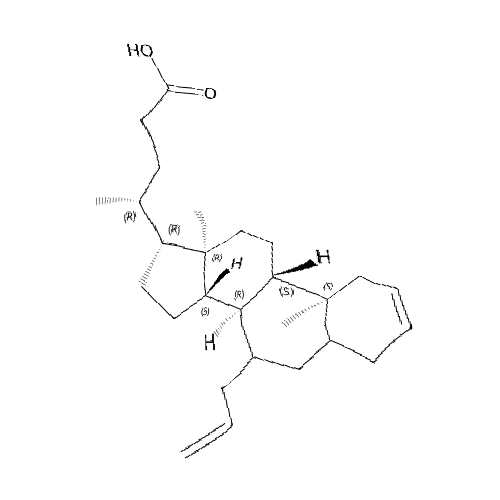 C=CCC1CC2CC=CC[C@]2(C)[C@H]2CC[C@]3(C)[C@@H]([C@H](C)CCC(=O)O)CC[C@H]3[C@H]12